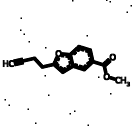 C#CCCc1cc2cc(C(=O)OC)ccc2o1